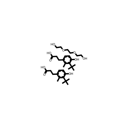 Cc1c(CCC(=O)O)ccc(O)c1C(C)(C)C.Cc1c(CCC(=O)O)ccc(O)c1C(C)(C)C.OCCOCCOCCO